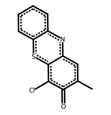 Cc1cc2nc3ccccc3sc-2c(Cl)c1=O